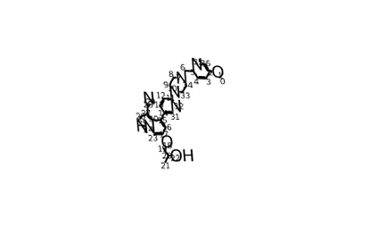 COc1ccc(CN2CCN(c3ccc(-c4cc(OCC(C)O)cn5ncc(C#N)c45)cn3)CC2)nc1